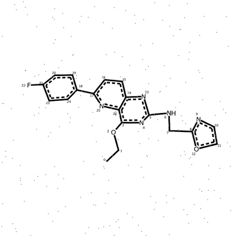 CCOc1nc(NCc2ncco2)nc2ccc(-c3ccc(F)cc3)nc12